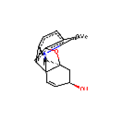 CCCN1CCC23C=C[C@H](O)C[C@@H]2Oc2c(OC)ccc(c23)C1